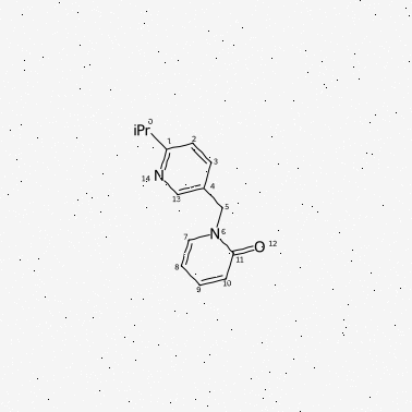 CC(C)c1ccc(Cn2ccccc2=O)cn1